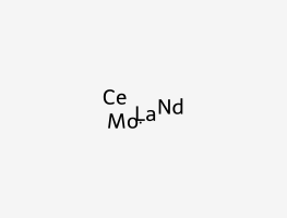 [Ce].[La].[Mo].[Nd]